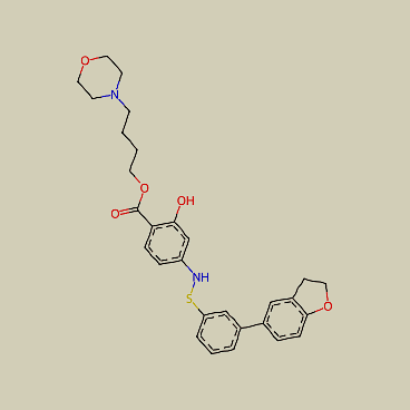 O=C(OCCCCN1CCOCC1)c1ccc(NSc2cccc(-c3ccc4c(c3)CCO4)c2)cc1O